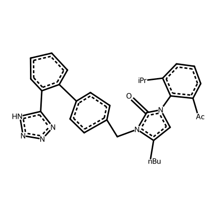 CCCCc1cn(-c2c(C(C)=O)cccc2C(C)C)c(=O)n1Cc1ccc(-c2ccccc2-c2nnn[nH]2)cc1